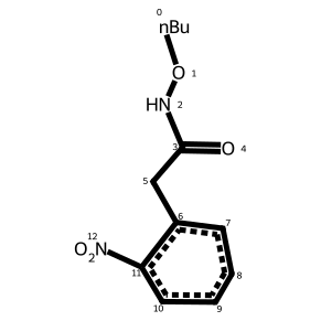 CCCCONC(=O)Cc1ccccc1[N+](=O)[O-]